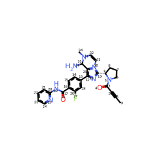 CC#CC(=O)N1CCC[C@H]1c1nc(-c2ccc(C(=O)Nc3ccccn3)c(F)c2)c2n1C=CN(C)C2N